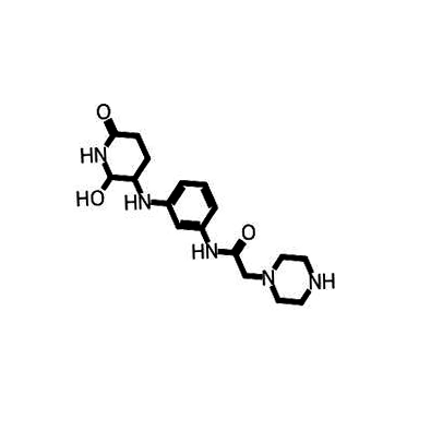 O=C(CN1CCNCC1)Nc1cccc(NC2CCC(=O)NC2O)c1